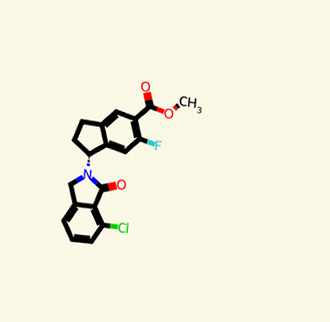 COC(=O)c1cc2c(cc1F)[C@H](N1Cc3cccc(Cl)c3C1=O)CC2